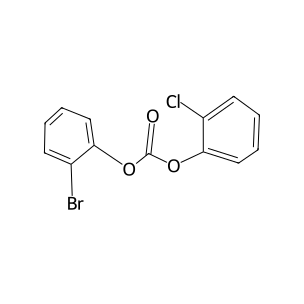 O=C(Oc1ccccc1Cl)Oc1ccccc1Br